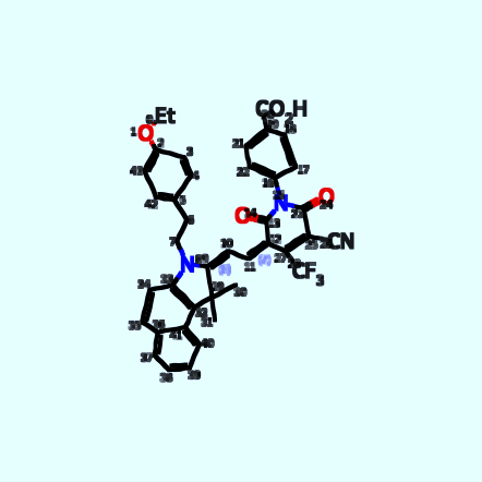 CCOc1ccc(CCN2/C(=C/C=C3\C(=O)N(c4ccc(C(=O)O)cc4)C(=O)C(C#N)=C3C(F)(F)F)C(C)(C)c3c2ccc2ccccc32)cc1